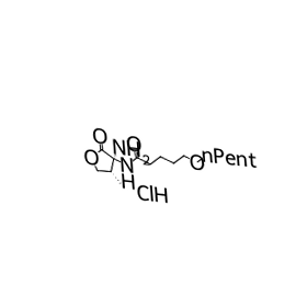 CCCCCOCCCCC(=O)N[C@]1(N)C(=O)OC[C@H]1C.Cl